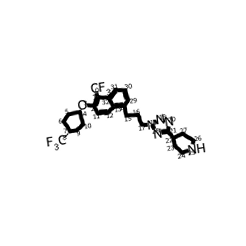 FC(F)(F)c1c(O[C@H]2CC[C@@H](C(F)(F)F)CC2)ccc2c(CCCn3nnc(C4CCNCC4)n3)cccc12